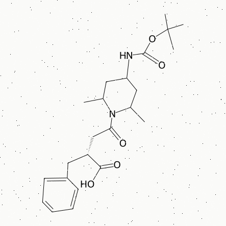 CC1CC(NC(=O)OC(C)(C)C)CC(C)N1C(=O)C[C@@H](Cc1ccccc1)C(=O)O